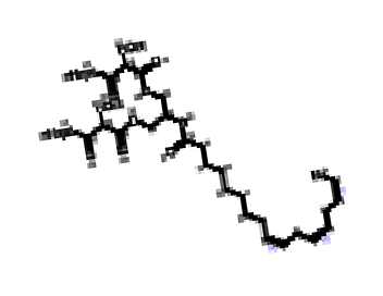 CC/C=C\C/C=C\C/C=C\CCCCCCCC(=O)OC(COC(=O)C(CCCCCCCC)C(=O)CCCCCCC)COC(=O)C(CCCCCCCC)C(=O)CCCCCCC